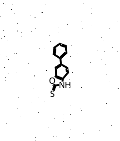 S=c1[nH]c2ccc(-c3ccccc3)cc2o1